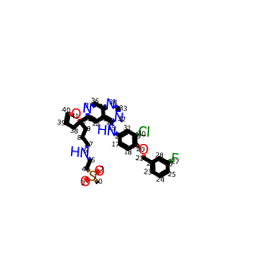 CS(=O)(=O)CCNCCCC1(c2cc3c(Nc4ccc(OCc5cccc(F)c5)c(Cl)c4)ncnc3cn2)CC=CO1